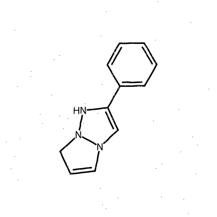 C1=CN2C=C(c3ccccc3)NN2C1